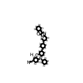 Cc1cc(-c2ccc(-c3ccc4nc5c6ccccc6oc5n4c3)cc2)ccc1N(c1ccccc1)c1ccc(C#N)cc1